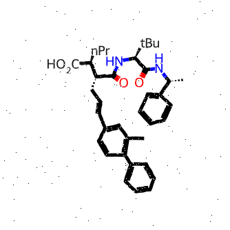 CCC[C@H](C(=O)O)[C@@H](CC=Cc1ccc(-c2ccccc2)c(C)c1)C(=O)N[C@H](C(=O)N[C@H](C)c1ccccc1)C(C)(C)C